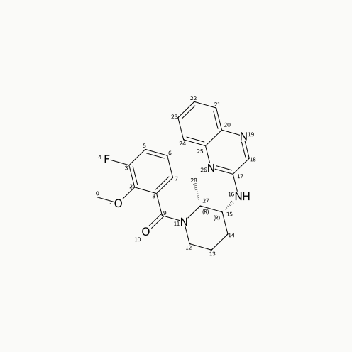 COc1c(F)cccc1C(=O)N1CCC[C@@H](Nc2cnc3ccccc3n2)[C@H]1C